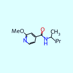 COc1cc(C(=O)NC(C)C(C)C)ccn1